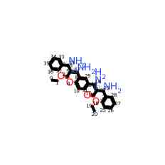 CCOC(=O)/C(=C(/N)c1cccc(/C(N)=C(\C(=O)OCC)C(N)c2ccccc2)c1)C(N)c1ccccc1